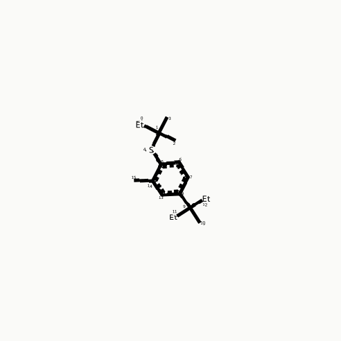 CCC(C)(C)Sc1ccc(C(C)(CC)CC)cc1C